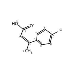 C/C(=C/C(=O)O)c1ccc(I)cc1